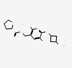 COc1nc(OC2CC(OC)C2)c(F)cc1CNC(=O)[C@@H]1CCCN1